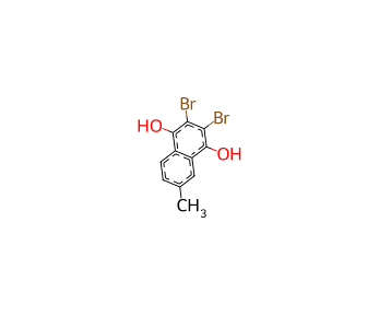 Cc1ccc2c(O)c(Br)c(Br)c(O)c2c1